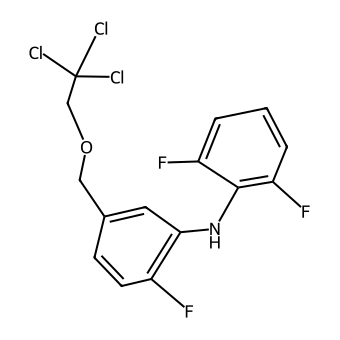 Fc1ccc(COCC(Cl)(Cl)Cl)cc1Nc1c(F)cccc1F